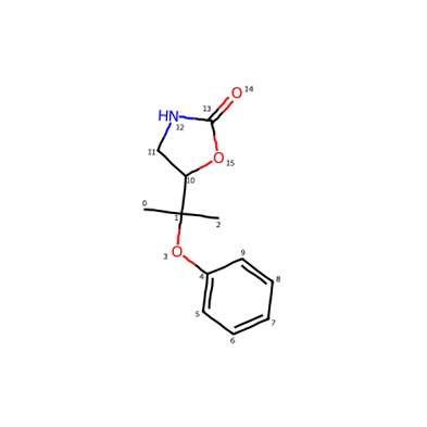 CC(C)(Oc1ccccc1)C1CNC(=O)O1